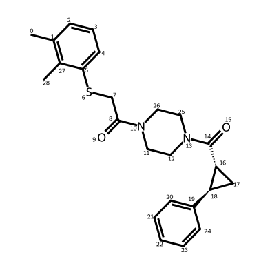 Cc1cccc(SCC(=O)N2CCN(C(=O)[C@@H]3C[C@H]3c3ccccc3)CC2)c1C